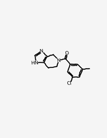 Cc1cc(Cl)cc(C(=O)N2CCc3[nH]cnc3C2)c1